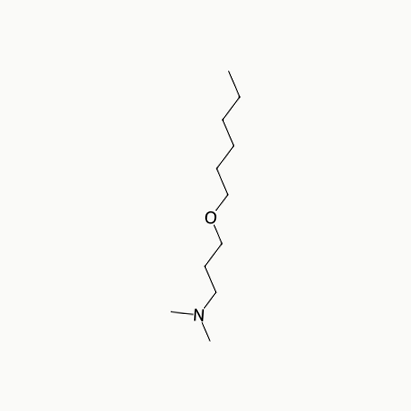 CCCCCCOCCCN(C)C